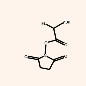 CCCCC(CC)C(=O)ON1C(=O)CCC1=O